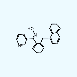 ON=C(c1cccnc1)c1ccccc1Cc1cccc2ccccc12